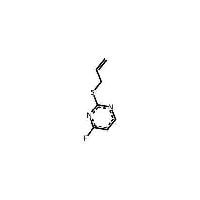 C=CCSc1nccc(F)n1